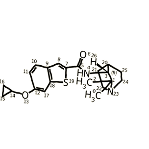 CC1(C)[C@H](NC(=O)c2cc3ccc(OC4CC4)cc3s2)C2CCN1CC2